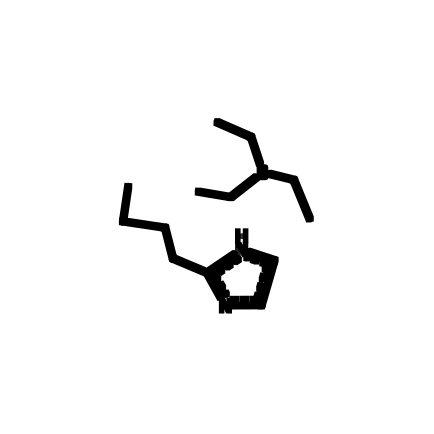 CCB(CC)CC.CCCCc1ncc[nH]1